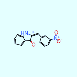 O=C1/C(=C\c2cccc([N+](=O)[O-])c2)Nc2ccccc21